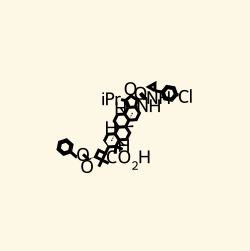 CC(C)C1=C2[C@H]3CC[C@@H]4[C@]5(C)CC[C@H]([C@@]6(C(=O)O)C[C@@H](C(=O)OCc7ccccc7)C6(C)C)C(C)(C)[C@H]5CC[C@@]4(C)[C@]3(C)CC[C@@]2(NC(=O)NC2(c3ccc(Cl)cc3)CC2)CC1=O